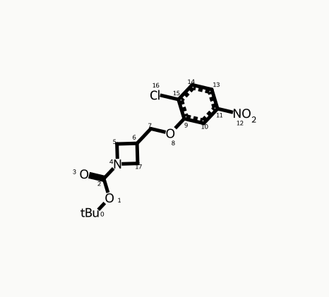 CC(C)(C)OC(=O)N1CC(COc2cc([N+](=O)[O-])ccc2Cl)C1